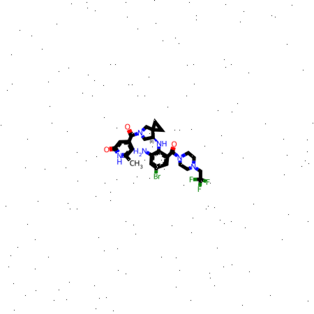 Cc1cc(C(=O)N2C[C@H](Nc3c(N)cc(Br)cc3C(=O)N3CCN(CC(F)(F)F)CC3)C3(CC3)C2)cc(=O)[nH]1